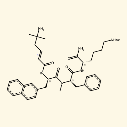 CC(=O)NCCCC[C@H](NC(=O)[C@@H](Cc1ccccc1)N(C)C(=O)[C@@H](Cc1ccc2ccccc2c1)NC(=O)/C=C/CC(C)(C)N)C(N)=O